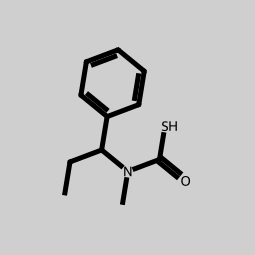 CCC(c1ccccc1)N(C)C(=O)S